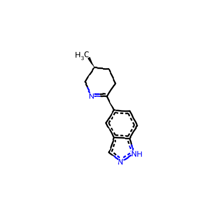 C[C@H]1CCC(c2ccc3[nH]ncc3c2)=NC1